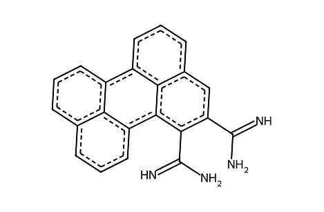 N=C(N)c1cc2cccc3c4cccc5cccc(c(c1C(=N)N)c23)c54